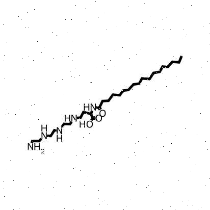 CCCCCCCCCCCCCCCCCC(=O)NC(CCNCCNCCNCCN)C(=O)O